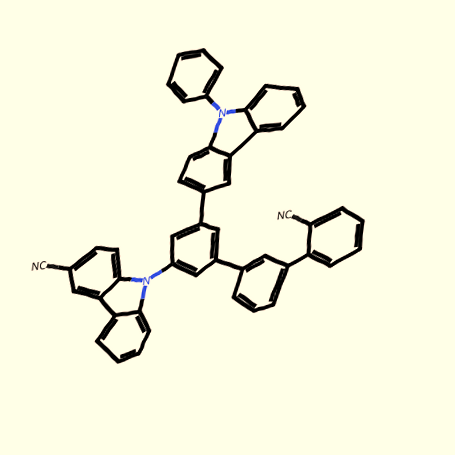 N#Cc1ccc2c(c1)c1ccccc1n2-c1cc(-c2cccc(-c3ccccc3C#N)c2)cc(-c2ccc3c(c2)c2ccccc2n3-c2ccccc2)c1